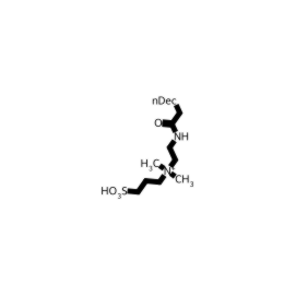 CCCCCCCCCCCC(=O)NCC[N+](C)(C)CCCS(=O)(=O)O